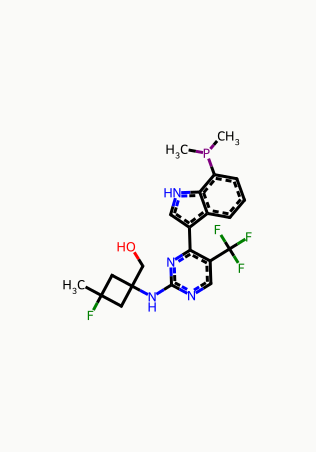 CP(C)c1cccc2c(-c3nc(NC4(CO)CC(C)(F)C4)ncc3C(F)(F)F)c[nH]c12